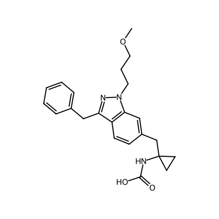 COCCCn1nc(Cc2ccccc2)c2ccc(CC3(NC(=O)O)CC3)cc21